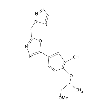 COC[C@@H](C)Oc1ccc(-c2nnc(Cn3nccn3)o2)cc1C